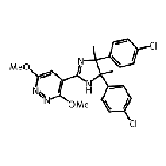 COc1cc(C2=NC(C)(c3ccc(Cl)cc3)C(C)(c3ccc(Cl)cc3)N2)c(OC)nn1